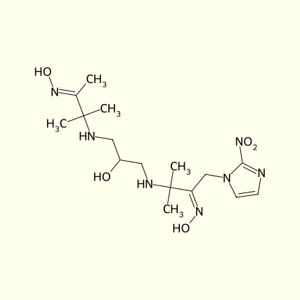 CC(=NO)C(C)(C)NCC(O)CNC(C)(C)C(Cn1ccnc1[N+](=O)[O-])=NO